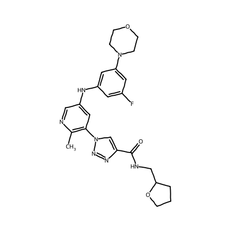 Cc1ncc(Nc2cc(F)cc(N3CCOCC3)c2)cc1-n1cc(C(=O)NCC2CCCO2)nn1